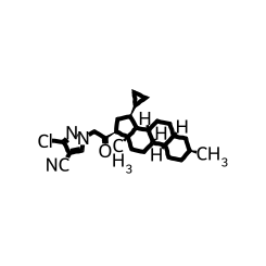 C[C@H]1CC[C@H]2[C@H](CC[C@H]3C4[C@H](C5CC5)C[C@H](C(=O)Cn5cc(C#N)c(Cl)n5)[C@@]4(C)CC[C@H]23)C1